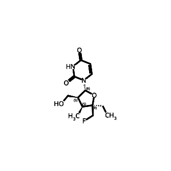 CC[C@@]1(CF)O[C@@H](n2ccc(=O)[nH]c2=O)[C@H](CO)[C@@H]1C